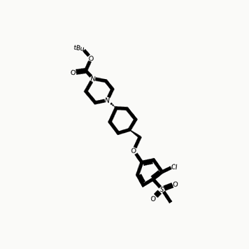 CC(C)(C)OC(=O)N1CCN([C@H]2CC[C@H](COc3ccc(S(C)(=O)=O)c(Cl)c3)CC2)CC1